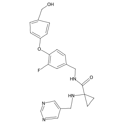 O=C(NCc1ccc(Oc2ccc(CO)cc2)c(F)c1)C1(NCc2cncnc2)CC1